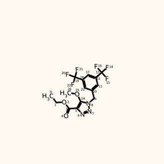 CCOC(=O)c1nnn(Cc2cc(C(F)(F)F)cc(C(F)(F)F)c2)c1OC